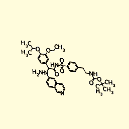 CCOc1cc(C(C(=O)NS(=O)(=O)c2ccc(CCNC(=O)OC(C)(C)C)cc2)N(N)c2ccc3cnccc3c2)ccc1OC(C)C